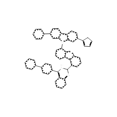 C1=CCC(c2ccc3c4ccc(-c5ccccc5)cc4n(-c4cccc5c4oc4cccc(C6N=c7ccccc7=C(c7ccc(-c8ccccc8)cc7)N6)c45)c3c2)=C1